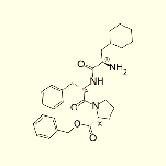 N[C@H](CC1CCCCC1)C(=O)N[C@@H](Cc1ccccc1)C(=O)N1CCC[C@@H]1C(=O)OCc1ccccc1